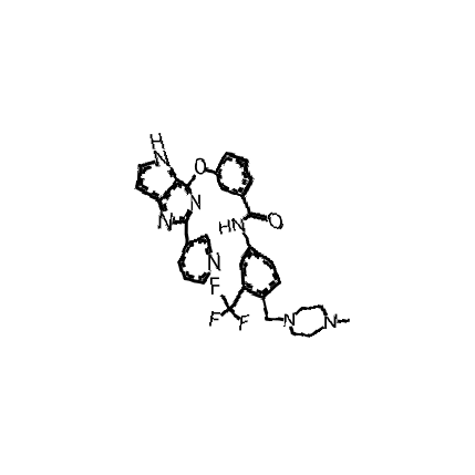 CN1CCN(Cc2ccc(NC(=O)c3cccc(Oc4nc(-c5cccnc5)nc5cc[nH]c45)c3)cc2C(F)(F)F)CC1